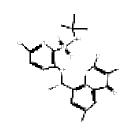 Cc1cc([C@@H](C)Nc2ccc(Cl)nc2S(=O)(=O)NC(C)(C)C)c2oc(Cl)c(C)c(=O)c2c1